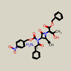 C#CC1C(N(C(=O)OCc2ccc([N+](=O)[O-])cc2)C(=O)[C@@H](N)c2ccccc2)C(=O)N1C(C(=O)OCc1ccccc1)=C(C)O